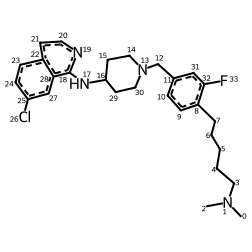 CN(C)CCCCCc1ccc(CN2CCC(Nc3nccc4ccc(Cl)cc34)CC2)cc1F